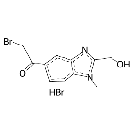 Br.Cn1c(CO)nc2cc(C(=O)CBr)ccc21